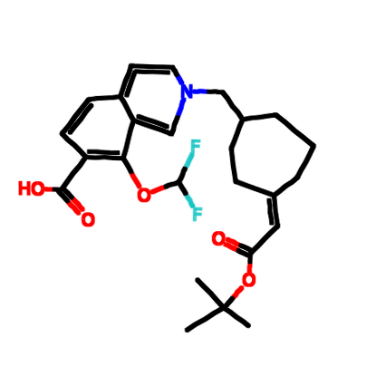 CC(C)(C)OC(=O)/C=C1/CCCC(CN2C=C=c3ccc(C(=O)O)c(OC(F)F)c3=C2)CC1